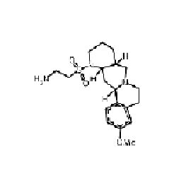 COc1ccc2c(c1)CCN1C[C@H]3CCCN(S(=O)(=O)CCN)[C@H]3C[C@@H]21